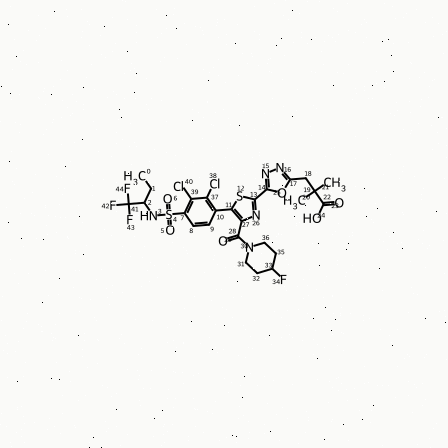 CCC(NS(=O)(=O)c1ccc(-c2sc(-c3nnc(CC(C)(C)C(=O)O)o3)nc2C(=O)N2CCC(F)CC2)c(Cl)c1Cl)C(F)(F)F